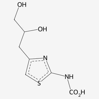 O=C(O)Nc1nc(CC(O)CO)cs1